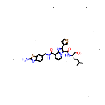 CC(C)CC[C@@H](CO)NC(=O)c1c(-c2ccsc2)nc2c(C(=O)NCc3ccc4nc(N)sc4c3)cccn12